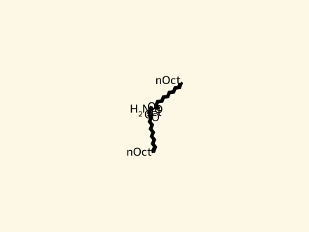 [CH2]CC(N)(OC(=O)CCCCCCC/C=C\CCCCCCCC)OC(=O)CCCCCCC/C=C\CCCCCCCC